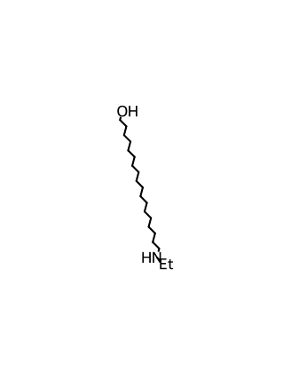 CCNCCCCCCCCCCCCCCCCCCO